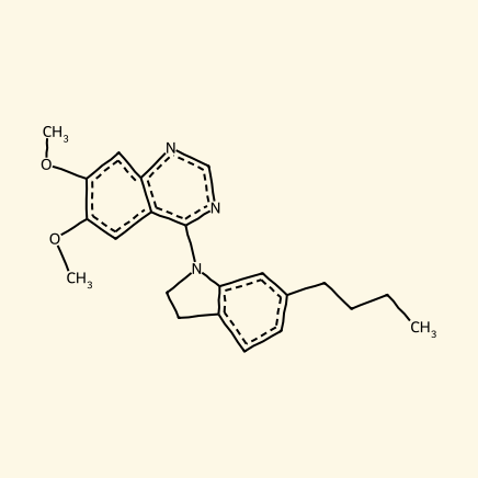 CCCCc1ccc2c(c1)N(c1ncnc3cc(OC)c(OC)cc13)CC2